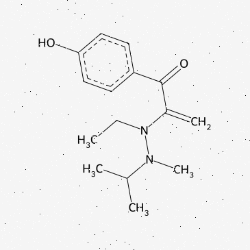 C=C(C(=O)c1ccc(O)cc1)N(CC)N(C)C(C)C